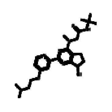 CN(C)CCOc1ccnc(-c2nc3c(c(N(C)CC(=O)NC(C)(C)C)n2)CCC3O)c1